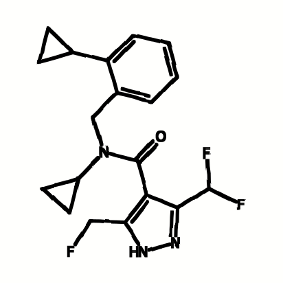 O=C(c1c(C(F)F)n[nH]c1CF)N(Cc1ccccc1C1CC1)C1CC1